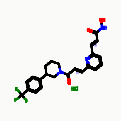 Cl.O=C(/C=C/c1cccc(/C=C/C(=O)N2CCCC(c3ccc(C(F)(F)F)cc3)C2)n1)NO